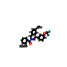 CNc1ccccc1C(=O)N(CCc1cccc(OC(F)F)c1)Cc1ccc(C(C)(C)C)cc1